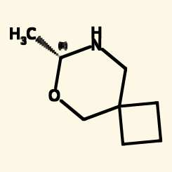 C[C@@H]1NCC2(CCC2)CO1